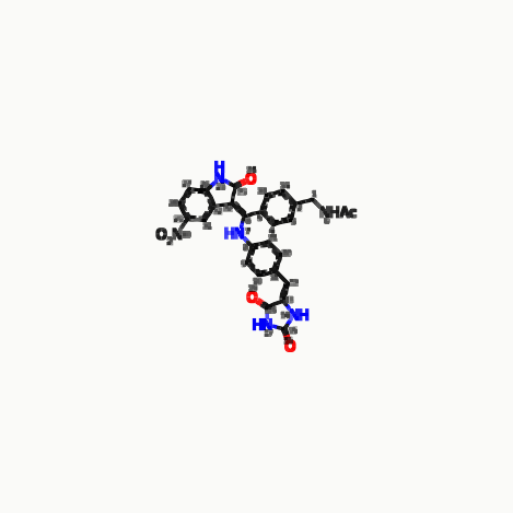 CC(=O)NCc1ccc(C(Nc2ccc(C=C3NC(=O)NC3=O)cc2)=C2C(=O)Nc3ccc([N+](=O)[O-])cc32)cc1